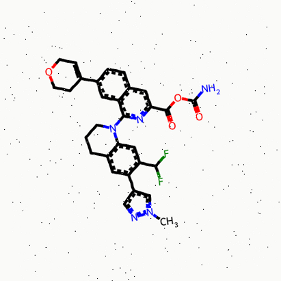 Cn1cc(-c2cc3c(cc2C(F)F)N(c2nc(C(=O)OC(N)=O)cc4ccc(C5=CCOCC5)cc24)CCC3)cn1